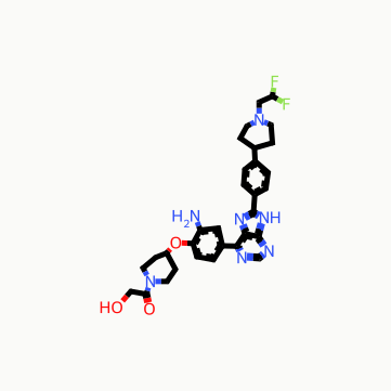 Nc1cc(-c2ncnc3[nH]c(-c4ccc(C5CCN(CC(F)F)CC5)cc4)nc23)ccc1OC1CCN(C(=O)CO)CC1